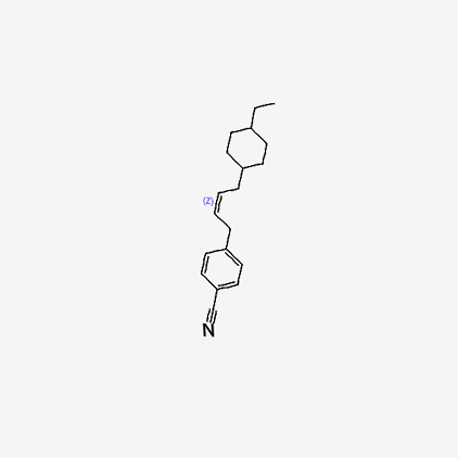 CCC1CCC(C/C=C\Cc2ccc(C#N)cc2)CC1